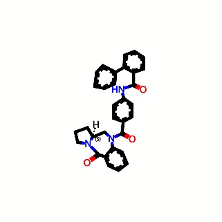 O=C(Nc1ccc(C(=O)N2C[C@@H]3CCCN3C(=O)c3ccccc32)cc1)c1ccccc1-c1ccccc1